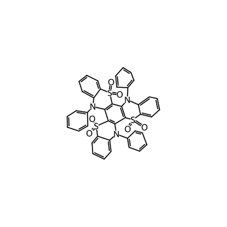 O=S1(=O)c2ccccc2N(c2ccccc2)c2c1c1c(c3c2S(=O)(=O)c2ccccc2N3c2ccccc2)S(=O)(=O)c2ccccc2N1c1ccccc1